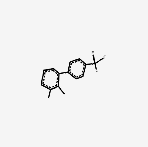 Cc1cccc(-c2ccc(C(F)(F)F)cc2)c1C